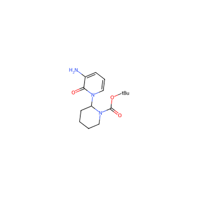 CC(C)(C)OC(=O)N1CCCCC1n1cccc(N)c1=O